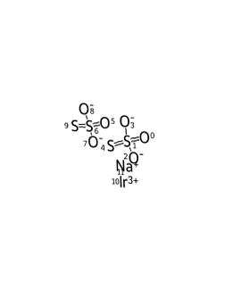 O=S([O-])([O-])=S.O=S([O-])([O-])=S.[Ir+3].[Na+]